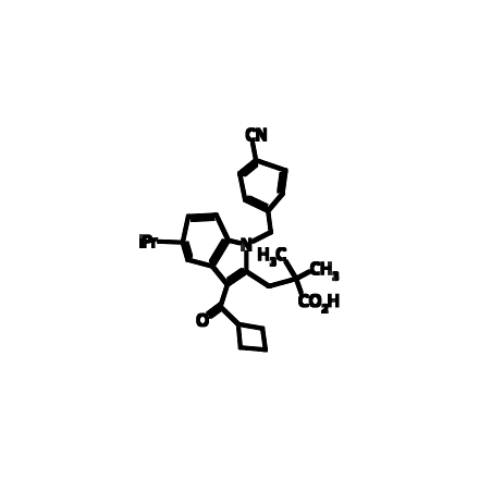 CC(C)c1ccc2c(c1)c(C(=O)C1CCC1)c(CC(C)(C)C(=O)O)n2Cc1ccc(C#N)cc1